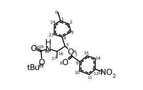 Cc1ccc(C(OC(=O)c2ccc([N+](=O)[O-])cc2)C(C)NC(=O)OC(C)(C)C)cc1